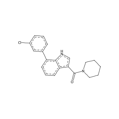 O=C(c1c[nH]c2c(-c3cccc(Cl)c3)cccc12)N1CCCCC1